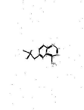 CC(C)(C)Cc1ccc2ncnc(N)c2c1